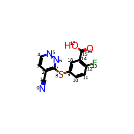 N#Cc1ccnnc1Sc1ccc(F)c(C(=O)O)c1